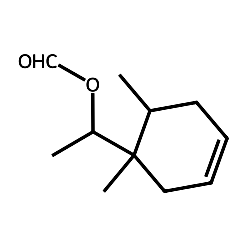 CC1CC=CCC1(C)C(C)OC=O